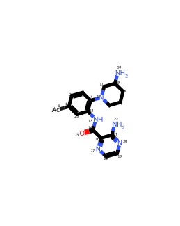 CC(=O)c1ccc(N2CCCC(N)C2)c(NC(=O)c2nccnc2N)c1